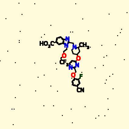 C[C@H]1C[C@@H](Oc2ccnc(COc3ccc(C#N)cc3F)n2)CCN1Cc1nc2ccc(C(=O)O)cc2n1CCOCC(F)(F)F